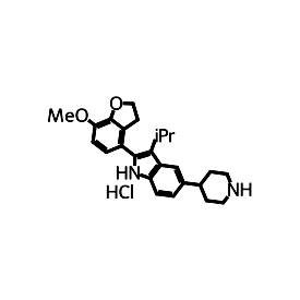 COc1ccc(-c2[nH]c3ccc(C4CCNCC4)cc3c2C(C)C)c2c1OCC2.Cl